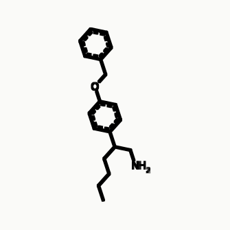 CCCCC(CN)c1ccc(OCc2ccccc2)cc1